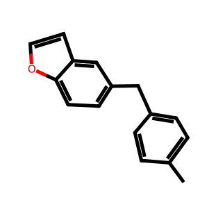 Cc1ccc(Cc2ccc3occc3c2)cc1